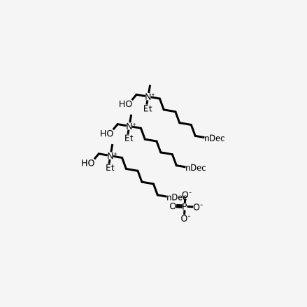 CCCCCCCCCCCCCCCC[N+](C)(CC)CO.CCCCCCCCCCCCCCCC[N+](C)(CC)CO.CCCCCCCCCCCCCCCC[N+](C)(CC)CO.O=P([O-])([O-])[O-]